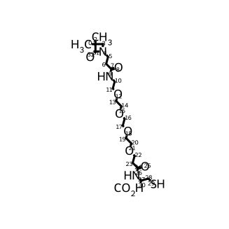 CC1(C)CN(CCC(=O)NCCOCCOCCOCCOCCC(=O)NC(CS)C(=O)O)C1=O